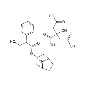 CN1C2CCC1CC(OC(=O)C(CO)c1ccccc1)C2.O=C(O)CC(O)(CC(=O)O)C(=O)O